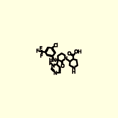 O=C(O)C1CCNCC1N1CCC[C@](Nc2cc(Cl)cc(C(F)(F)F)c2)(C2C=CN=CN2F)C1=O